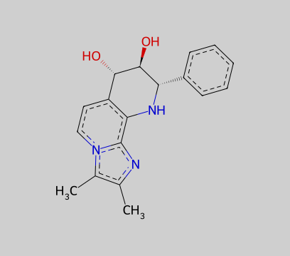 Cc1nc2c3c(ccn2c1C)[C@H](O)[C@@H](O)[C@H](c1ccccc1)N3